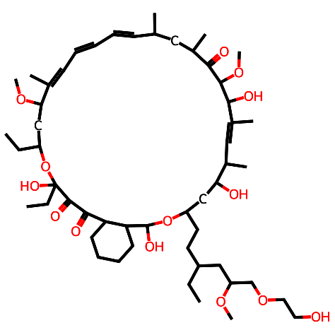 CCC(CCC1CC(O)C(C)/C=C(\C)C(O)C(OC)C(=O)C(C)CC(C)/C=C/C=C/C=C(\C)C(OC)CC(CC)OC(O)(CC)C(=O)C(=O)C2CCCCC2C(O)O1)CC(COCCO)OC